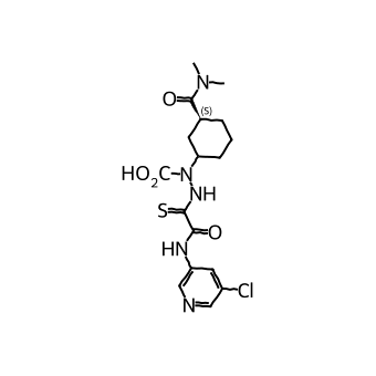 CN(C)C(=O)[C@H]1CCCC(N(NC(=S)C(=O)Nc2cncc(Cl)c2)C(=O)O)C1